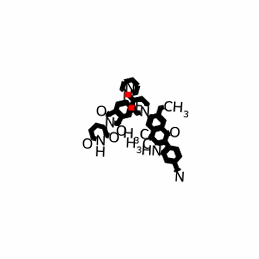 CCc1cc2c(cc1N1CCC(CN3C4CC3CN(c3cc5c(cc3F)C(=O)N(C3CCC(=O)NC3=O)C5=O)C4)CC1)C(C)(C)c1[nH]c3cc(C#N)ccc3c1C2=O